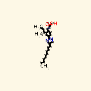 CCCCCCCCCCCc1cnc(-c2ccc(/C=C/C(=O)O)c(C(C)CCC)c2)nc1